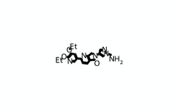 CCOc1cc(-c2ccc3c(n2)CN(c2cnn(CN)c2)C3=O)cnc1OCC